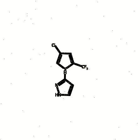 FC(F)(F)C1=CC(Cl)=C[SH]1c1cc[nH]n1